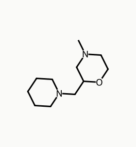 CN1CCOC(CN2CCCCC2)C1